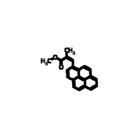 COC(=O)C(C)=Cc1ccc2ccc3cccc4ccc1c2c34